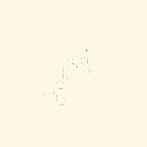 COc1ccc(C)c(N2CC(C(=O)Nc3ccc(N(C)c4ccccc4)cc3)CC2=O)c1